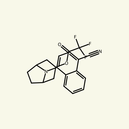 N#Cc1ccc(N2C3CCC2CC(OC(=O)C(F)(F)F)C3)c2ccccc12